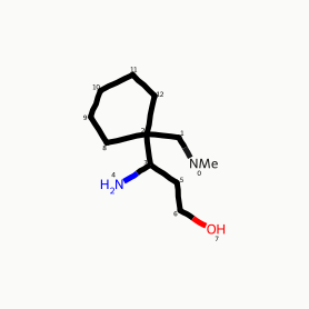 CNCC1(C(N)CCO)CCCCC1